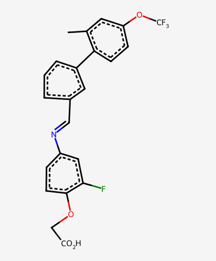 Cc1cc(OC(F)(F)F)ccc1-c1cccc(C=Nc2ccc(OCC(=O)O)c(F)c2)c1